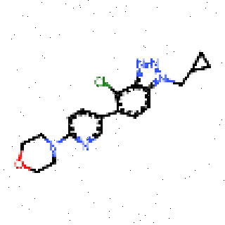 Clc1c(-c2ccc(N3CCOCC3)nc2)ccc2c1nnn2CC1CC1